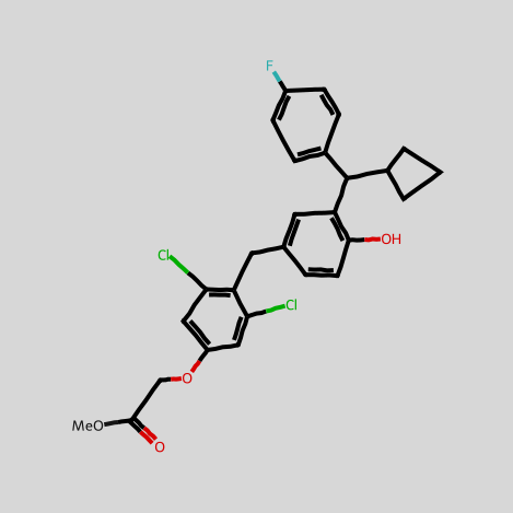 COC(=O)COc1cc(Cl)c(Cc2ccc(O)c(C(c3ccc(F)cc3)C3CCC3)c2)c(Cl)c1